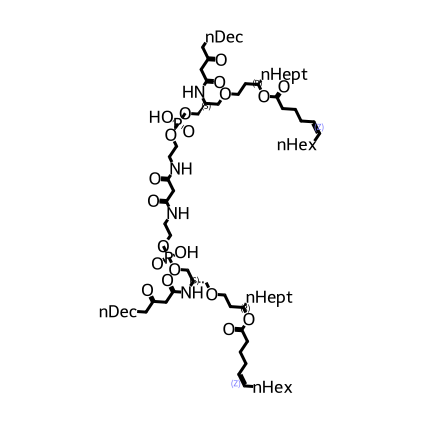 CCCCCC/C=C\CCCC(=O)O[C@H](CCCCCCC)CCOC[C@@H](COP(=O)(O)OCCNC(=O)CC(=O)NCCOP(=O)(O)OC[C@H](COCC[C@@H](CCCCCCC)OC(=O)CCC/C=C\CCCCCC)NC(=O)CC(=O)CCCCCCCCCCC)NC(=O)CC(=O)CCCCCCCCCCC